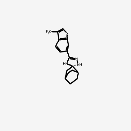 FC(F)(F)c1csc2cc(C3=NN[C@]4(CC5CCC4CC5)N3)ccc12